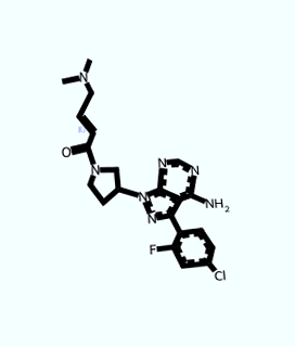 CN(C)C/C=C/C(=O)N1CCC(n2nc(-c3ccc(Cl)cc3F)c3c(N)ncnc32)C1